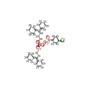 O=C(CSOB(OCCCC(c1ccccc1)c1ccccc1)OCCCC(c1ccccc1)c1ccccc1)c1ccc(Cl)cc1